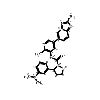 Cc1ncc(-c2ccc3nc(N)nn3c2)cc1NC(=O)N1OCC[C@H]1c1cccc(N(C)C)c1